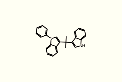 CC(C)(c1c[nH]c2ccccc12)c1cn(-c2ccccc2)c2ccccc12